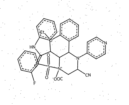 CCOc1ccccc1C1C(C2C(=O)Nc3ccccc32)[N+](C(=O)[O-])(S(=O)(=O)c2ccccc2F)CC(C#N)N1c1ccncc1